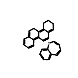 C1=CSc2ccccc2C=C1.C1=c2ccc3c(c2CCC1)CC=c1ccccc1=3